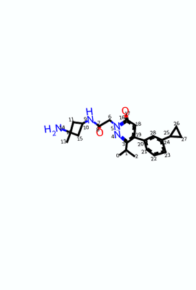 CC(C)c1nn(CC(=O)NC2CC(C)(N)C2)c(=O)cc1-c1cccc(C2CC2)c1